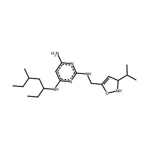 CCC(C)CC(CC)Nc1cc(N)nc(NCC2=CC(C(C)C)NO2)n1